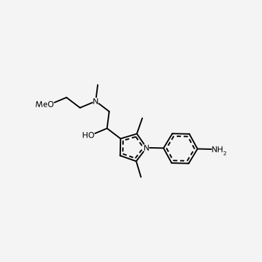 COCCN(C)CC(O)c1cc(C)n(-c2ccc(N)cc2)c1C